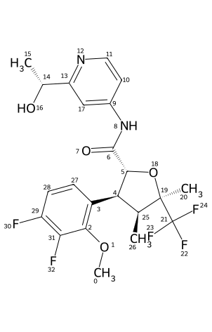 COc1c([C@H]2[C@H](C(=O)Nc3ccnc([C@@H](C)O)c3)O[C@@](C)(C(F)(F)F)[C@H]2C)ccc(F)c1F